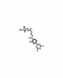 CC(CCCNc1ccc(N2CC(C)OC(C)C2)cc1F)CNS(=O)(=O)C(C)(C)C